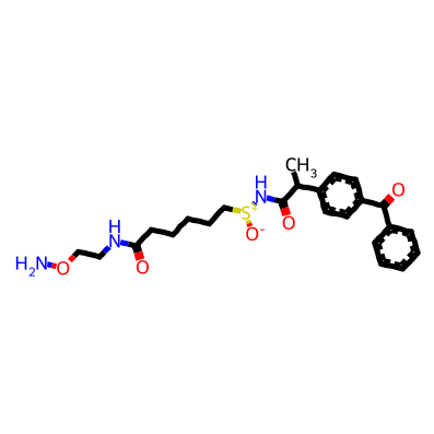 CC(C(=O)N[S+]([O-])CCCCCC(=O)NCCON)c1ccc(C(=O)c2ccccc2)cc1